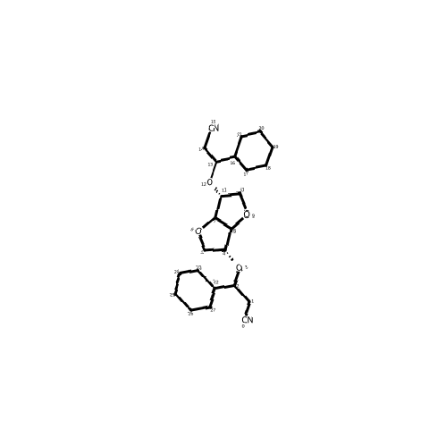 N#CCC(O[C@@H]1COC2C1OC[C@H]2OC(CC#N)C1CCCCC1)C1CCCCC1